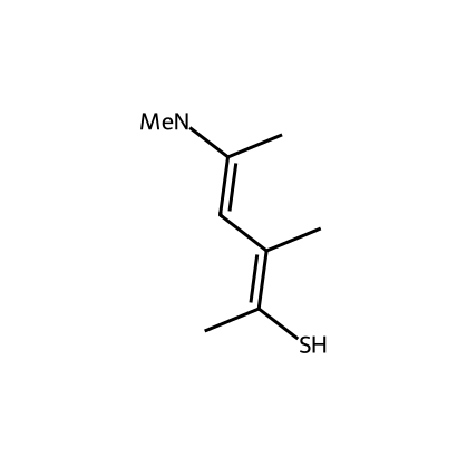 CN/C(C)=C/C(C)=C(\C)S